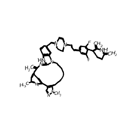 C=C1CCC(c2c(F)cc(CCN3CCN(Cc4ccc5c(c4)N4CCCCCCc6c(cnn6C)-c6cc(cc(C)n6)C(=C)/N=C/4N5)CC3)cc2F)C(=C)N1